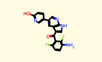 Nc1ccc(F)c(C(=O)c2c[nH]c3ncc(-c4ccc(O)nc4)cc23)c1F